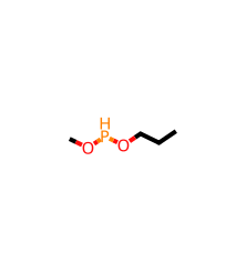 CCCOPOC